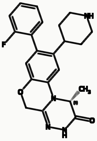 C[C@@H]1C(=O)NN=C2COc3cc(-c4ccccc4F)c(C4CCNCC4)cc3N21